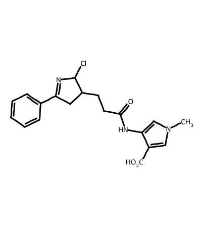 Cn1cc(NC(=O)CCC2CC(c3ccccc3)=NC2Cl)c(C(=O)O)c1